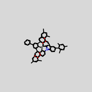 Cc1cc(C)c(-c2ccc3c(c2)B(c2c(-c4ccccc4)cc(-c4ccccc4)cc2-c2ccccc2)c2cc(-c4c(C)cc(C)cc4C)cc4c5cc(-c6c(C)cc(C)cc6C)ccc5n-3c24)c(C)c1